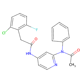 CC(=O)N(c1ccccc1)c1cc(NC(=O)Cc2c(F)cccc2Cl)ccn1